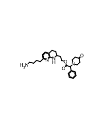 NCCCCc1ccc2c(n1)NC(CCOC(=O)C(c1ccccc1)N1CCC(=O)CC1)CC2